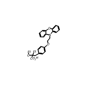 CCOC(CC)(Cc1ccc(OCCN2c3ccccc3Oc3ccccc32)cc1)C(=O)O